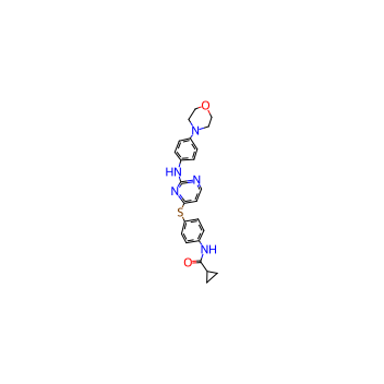 O=C(Nc1ccc(Sc2ccnc(Nc3ccc(N4CCOCC4)cc3)n2)cc1)C1CC1